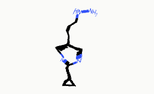 NNCCc1cnc(C2CC2)nc1